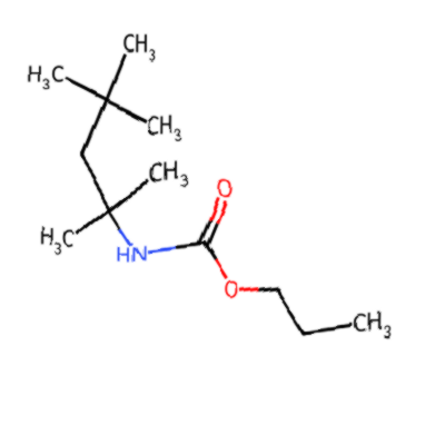 CCCOC(=O)NC(C)(C)CC(C)(C)C